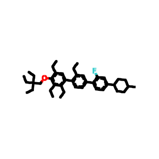 CCc1cc(-c2ccc(C3CCC(C)CC3)cc2F)ccc1-c1cc(CC)c(OCC(CC)(CC)CC)c(CC)c1CC